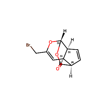 O=C1O[C@@H]2OC(CBr)=C[C@H]3[C@@H]2C=C[C@@H]13